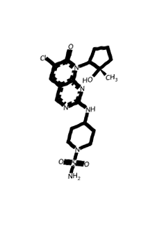 C[C@]1(O)CCCC1n1c(=O)c(Cl)cc2cnc(NC3CCN(S(N)(=O)=O)CC3)nc21